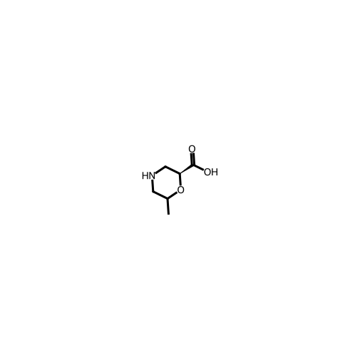 CC1CNC[C@@H](C(=O)O)O1